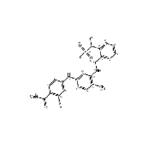 CNC(=O)c1ccc(Nc2ncc(C(F)(F)F)c(NCc3nccnc3N(C)S(C)(=O)=O)n2)cc1F